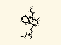 CCCN(C)CCc1ncc(C)c2c(CCCl)c3ccccc3n12